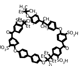 CCC(C)(C)Oc1ccc(C(C)(C)c2ccc(Oc3ccc(C(=O)c4ccc(C(CC)(CC)C(C)(CC)Oc5ccc(-c6ccc(Oc7ccc(C(=O)c8ccc(C(C)(CC)CC)c(S(=O)(=O)O)c8)cc7S(=O)(=O)O)cc6)cc5)c(S(=O)(=O)O)c4)cc3S(=O)(=O)O)cc2)cc1